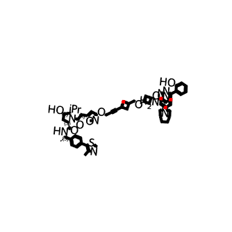 Cc1ncsc1-c1ccc([C@H](C)NC(=O)[C@@H]2C[C@@H](O)CN2C(=O)[C@@H](c2cc(OCC#CC34CC(CO[C@H]5C[C@H](Oc6cc(N7C8CCC7CN(c7cc(-c9ccccc9O)nnc7N)C8)ccn6)C5)(C3)C4)no2)C(C)C)cc1